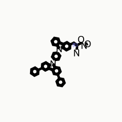 N#C/C(=C\c1ccc2c(c1)c1ccccc1n2-c1ccc(-n2c3ccc(-c4ccccc4)cc3c3cc(-c4ccccc4)ccc32)cc1)C(=O)N=O